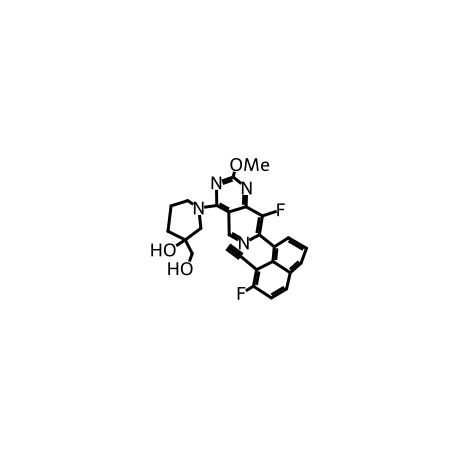 C#Cc1c(F)ccc2cccc(-c3ncc4c(N5CCCC(O)(CO)C5)nc(OC)nc4c3F)c12